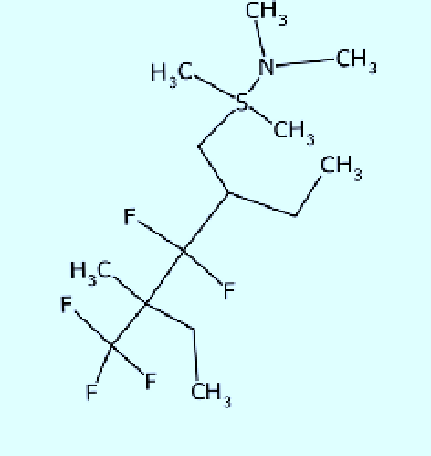 CCC(CS(C)(C)N(C)C)C(F)(F)C(C)(CC)C(F)(F)F